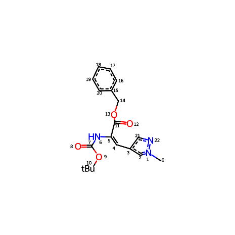 Cn1cc(C=C(NC(=O)OC(C)(C)C)C(=O)OCc2ccccc2)cn1